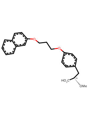 CO[C@@H](Cc1ccc(OCCCOc2ccc3ccccc3c2)cc1)C(=O)O